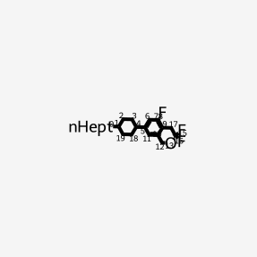 CCCCCCCC1CCC(c2cc(F)c3c(c2)COC(F)(F)C3)CC1